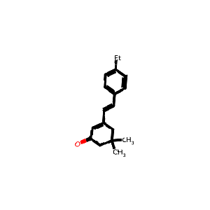 CCc1ccc(C=CC2=CC(=O)CC(C)(C)C2)cc1